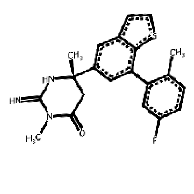 Cc1ccc(F)cc1-c1cc([C@]2(C)CC(=O)N(C)C(=N)N2)cc2ccsc12